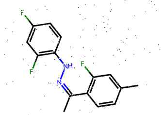 CC(=NNc1ccc(F)cc1F)c1ccc(C)cc1F